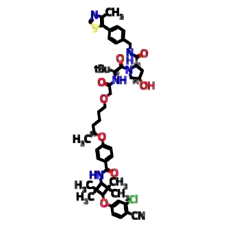 Cc1ncsc1-c1ccc(CNC(=O)[C@@H]2C[C@@H](O)CN2C(=O)[C@@H](NC(=O)COCCCC[C@@H](C)Oc2ccc(C(=O)NC3C(C)(C)C(Oc4ccc(C#N)c(Cl)c4)C3(C)C)cc2)C(C)(C)C)cc1